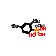 CCCCCCCCP(O)(O)(O)c1ccc(C(C)(C)C)cc1C(C)(C)C